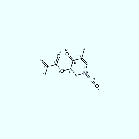 C=C(C)C(=O)OC(CN=C=O)C(=O)C(=C)C